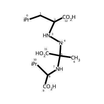 CC(C)CC(N[N]C(C)(NC(C(=O)O)C(C)C)C(=O)O)C(=O)O